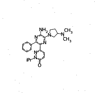 CC(C)n1nc(-c2nc(N3CCC(N(C)C)C3)c(N)nc2-c2ccccc2)ccc1=O